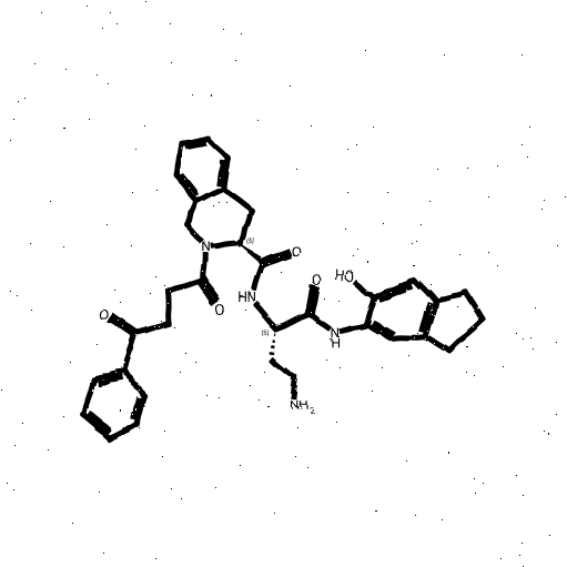 NCC[C@H](NC(=O)[C@@H]1Cc2ccccc2CN1C(=O)CCC(=O)c1ccccc1)C(=O)Nc1cc2c(cc1O)CCC2